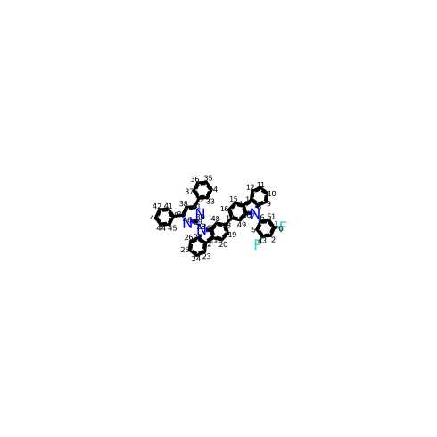 Fc1cc(F)cc(-n2c3ccccc3c3ccc(-c4ccc5c6ccccc6n(-c6nc(-c7ccccc7)cc(-c7ccccc7)n6)c5c4)cc32)c1